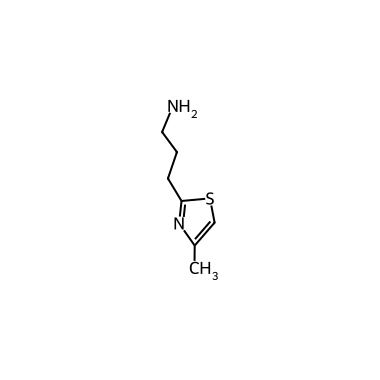 Cc1csc(CCCN)n1